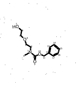 CN(CCOCCO)C(=O)OCc1ccccc1